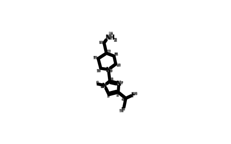 Cn1cc(C(F)F)nc1N1CCC(CN)CC1